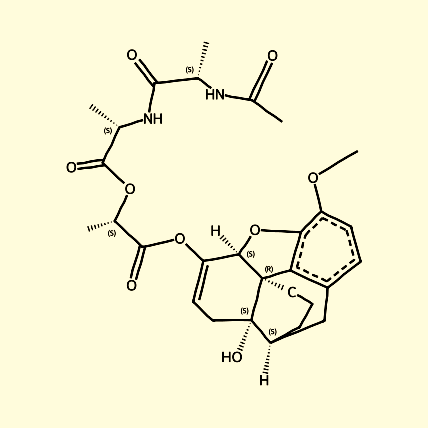 COc1ccc2c3c1O[C@@H]1C(OC(=O)[C@H](C)OC(=O)[C@H](C)NC(=O)[C@H](C)NC(C)=O)=CC[C@]4(O)[C@@H](CCC[C@@]314)C2